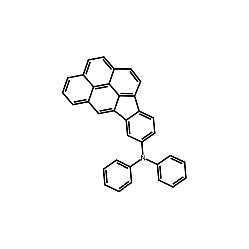 c1ccc(N(c2ccccc2)c2ccc3c(c2)-c2cc4cccc5ccc6ccc-3c2c6c54)cc1